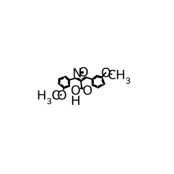 COc1cccc(-c2noc(-c3cccc(OC)c3)c2C(=O)O)c1